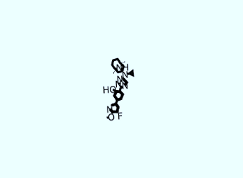 COc1ncc(-c2ccc(-c3ncc(N(C4CC4)[C@H]4C[C@]5(C)CCC[C@](C)(C4)N5)nn3)c(O)c2)cc1F